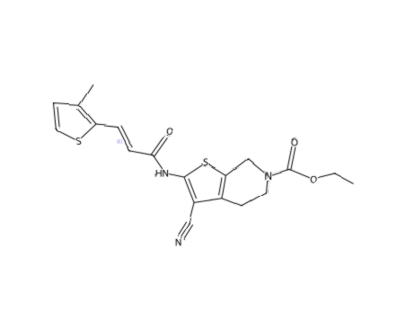 CCOC(=O)N1CCc2c(sc(NC(=O)/C=C/c3sccc3C)c2C#N)C1